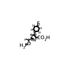 CC(OP)c1nc(C(=O)O)c(-c2ccc(F)cc2)s1